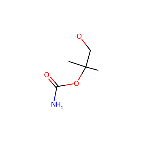 CC(C)(C[O])OC(N)=O